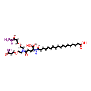 O=C(O)CCCCCCCCCCCCCCCCC(=O)NC(CCC(=O)N(CCOCCC(=O)P)CCOCCC(=O)PP)C(=O)O